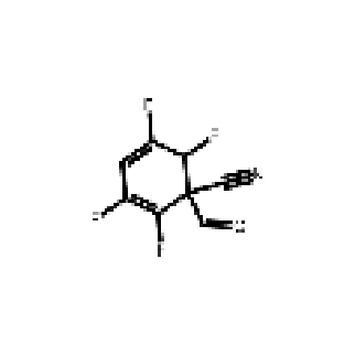 N#CC1(C=O)C(F)=C(F)C=C(F)C1F